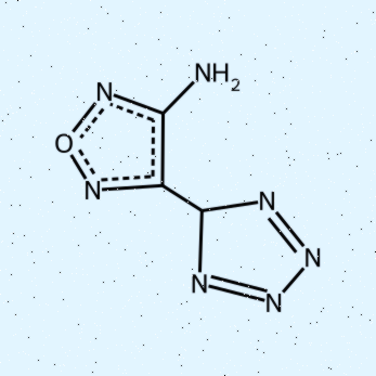 Nc1nonc1C1N=NN=N1